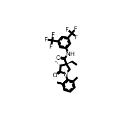 CC[C@@]1(C(=O)Nc2cc(C(F)(F)F)cc(C(F)(F)F)c2)CN(c2c(C)cccc2C)C(=O)[C@@H]1C